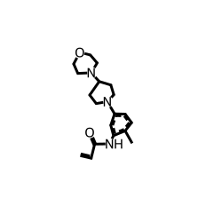 C=CC(=O)Nc1cc(N2CCC(N3CCOCC3)CC2)ccc1C